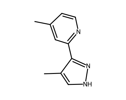 Cc1ccnc(-c2n[nH]cc2C)c1